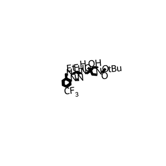 CCN(Cc1ccc(C(F)(F)F)cc1)c1ncnc(NCC2(O)CCN(C(=O)OC(C)(C)C)CC2O)c1F